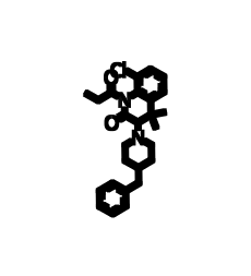 CCC(=O)N1C(=O)C(N2CCC(Cc3ccccc3)CC2)C(C)(C)c2cccc(Cl)c21